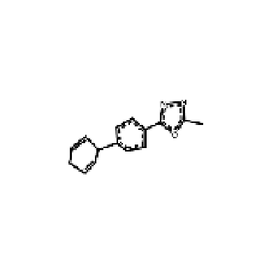 Cc1nnc(-c2ccc(C3C=CCC=C3)cc2)o1